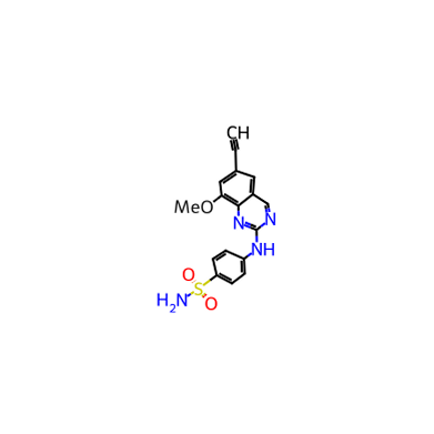 C#Cc1cc(OC)c2nc(Nc3ccc(S(N)(=O)=O)cc3)ncc2c1